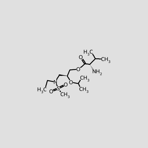 CCN(C[C@@H](COC(=O)[C@@H](N)C(C)C)OC(C)C)S(C)(=O)=O